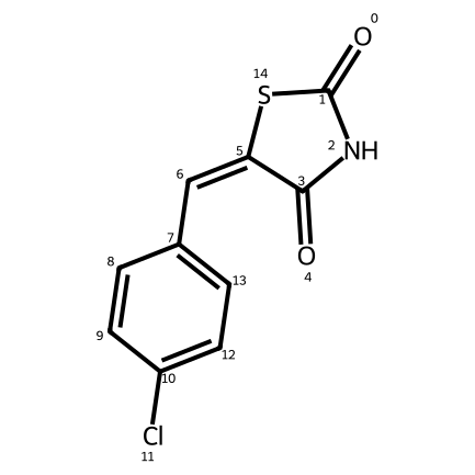 O=C1NC(=O)/C(=C\c2ccc(Cl)cc2)S1